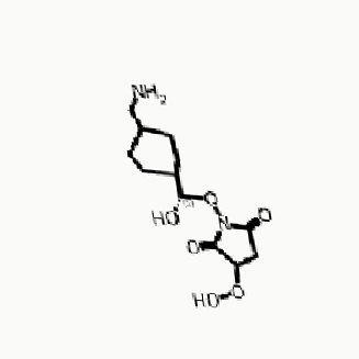 NCC1CCC([C@@H](O)ON2C(=O)CC(OO)C2=O)CC1